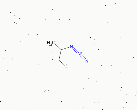 CC(CF)N=[N+]=[N-]